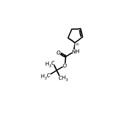 CC(C)(C)OC(=O)N[C@@H]1C=CCC1